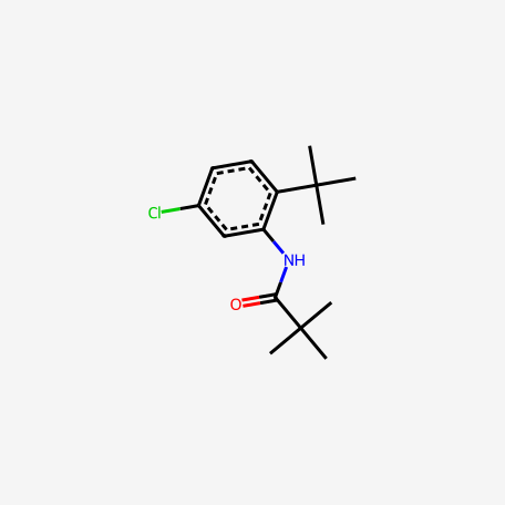 CC(C)(C)C(=O)Nc1cc(Cl)ccc1C(C)(C)C